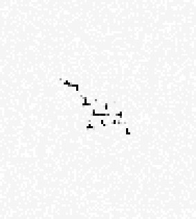 CC(=O)OC(NC(=O)CSCC#N)C1=C(C(=O)O)N2C(=O)[C@H](NC=O)[C@H]2SC1